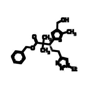 CCn1cc(CC[C@@H](c2cc(CO)c(C)s2)C(C)(C)C(=O)OCc2ccccc2)nn1